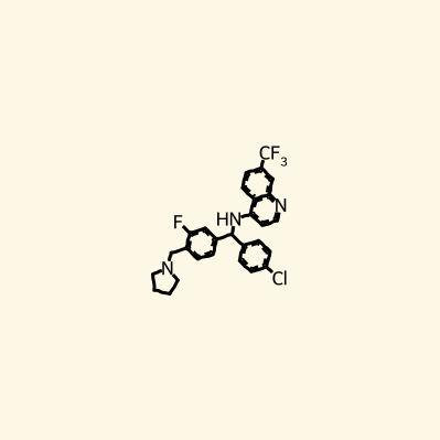 Fc1cc(C(Nc2ccnc3cc(C(F)(F)F)ccc23)c2ccc(Cl)cc2)ccc1CN1CCCC1